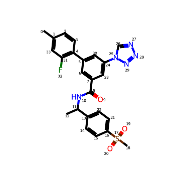 Cc1ccc(-c2cc(C(=O)NC(C)c3ccc(S(C)(=O)=O)cc3)cc(-n3cnnn3)c2)c(F)c1